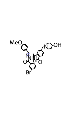 COc1ccc(/C=N/NC(=O)c2cc(Br)ccc2NC(=O)c2ccc(CN3CCC(O)CC3)cc2)cc1